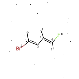 C/C(Br)=C\C(C)=C(/C)F